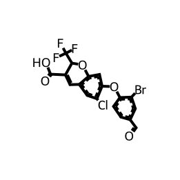 O=Cc1ccc(Oc2cc3c(cc2Cl)C=C(C(=O)O)C(C(F)(F)F)O3)c(Br)c1